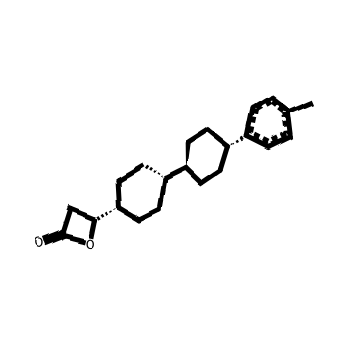 Cc1ccc([C@H]2CC[C@H]([C@H]3CC[C@@H](C4CC(=O)O4)CC3)CC2)cc1